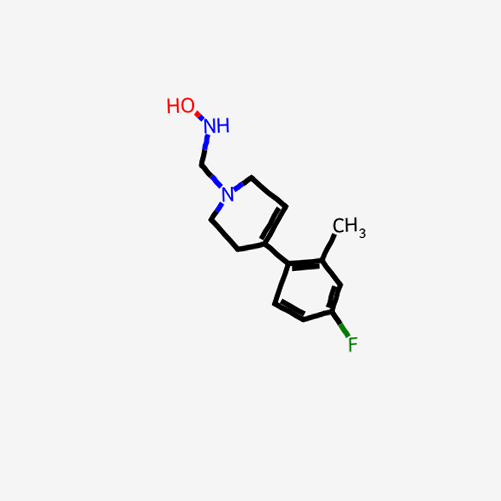 Cc1cc(F)ccc1C1=CCN(CNO)CC1